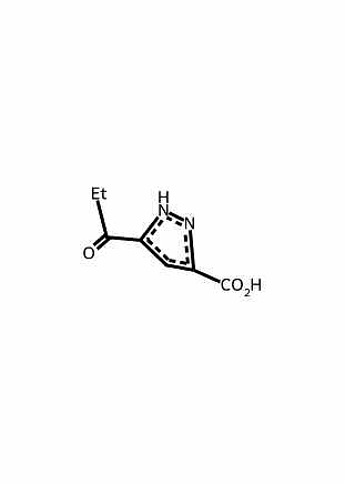 CCC(=O)c1cc(C(=O)O)n[nH]1